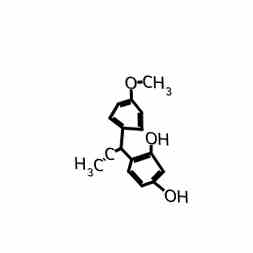 CCC(c1ccc(OC)cc1)c1ccc(O)cc1O